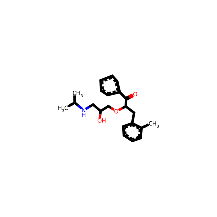 Cc1ccccc1CC(OCC(O)CNC(C)C)C(=O)c1ccccc1